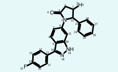 [2H]C1CC(=O)N(c2ccc3c(-c4ccc(F)cc4)n[nH]c3c2)C1c1ccccc1